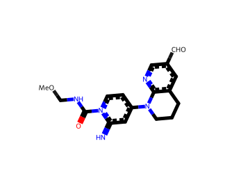 COCNC(=O)n1ccc(N2CCCc3cc(C=O)cnc32)cc1=N